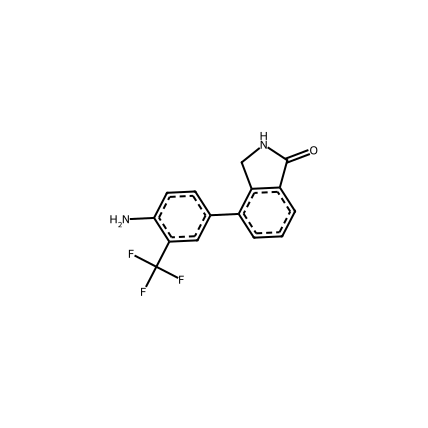 Nc1ccc(-c2cccc3c2CNC3=O)cc1C(F)(F)F